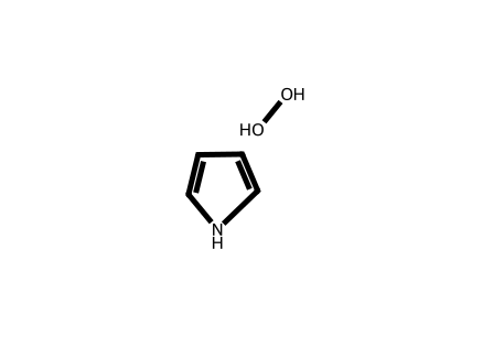 OO.c1cc[nH]c1